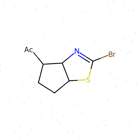 CC(=O)C1CCC2SC(Br)=NC21